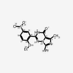 CCCc1nc(C)c2c(=O)[nH]c(-c3cc([S+]([O-])Cl)ccc3OCC)nn12